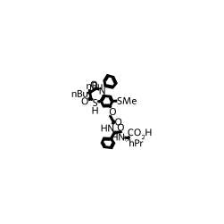 CCCCC1(CCCC)C(=O)[SH]c2cc(OCC(=O)N[C@@H](C(=O)N[C@@H](CCC)C(=O)O)c3ccccc3)c(SC)cc2N(c2ccccc2)C1=O